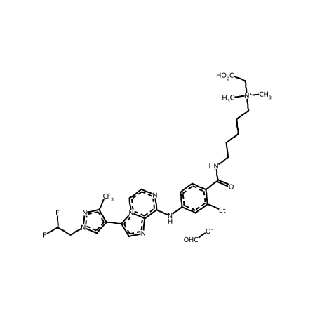 CCc1cc(Nc2nccn3c(-c4cn(CC(F)F)nc4C(F)(F)F)cnc23)ccc1C(=O)NCCCCC[N+](C)(C)CC(=O)O.O=C[O-]